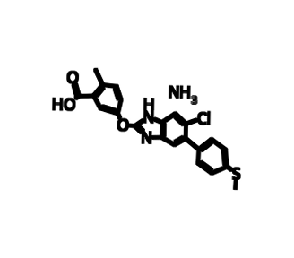 CSc1ccc(-c2cc3nc(Oc4ccc(C)c(C(=O)O)c4)[nH]c3cc2Cl)cc1.N